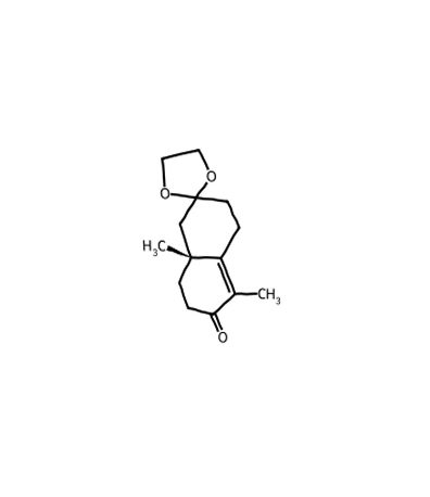 CC1=C2CCC3(C[C@@]2(C)CCC1=O)OCCO3